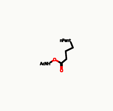 CCCCCCCCC(=O)ONC(C)=O